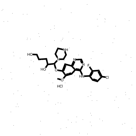 COc1cc2c(Nc3ccc(Cl)cc3F)ncnc2cc1OC(C(O)CCCO)N1CCNCC1.Cl